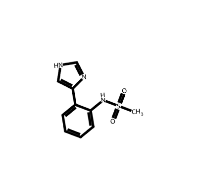 CS(=O)(=O)Nc1ccccc1-c1c[nH]cn1